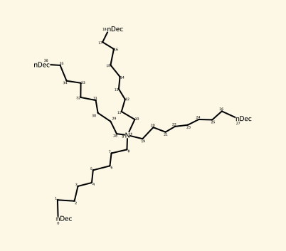 CCCCCCCCCCCCCCCCCC[N+](CCCCCCCCCCCCCCCCCC)(CCCCCCCCCCCCCCCCCC)CCCCCCCCCCCCCCCCCC